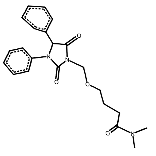 CN(C)C(=O)CCCOCN1C(=O)C(c2ccccc2)N(c2ccccc2)C1=O